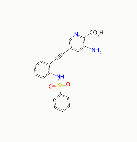 Nc1cc(C#Cc2ccccc2NS(=O)(=O)c2ccccc2)cnc1C(=O)O